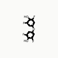 Oc1c(F)cc(Oc2cc(F)c(O)c(F)c2)cc1F